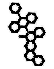 O=c1c2cc3ccc4ccccc4c3cc2c2ccccc2n1-c1c2ccccc2c(-c2ccccc2)c2ccccc12